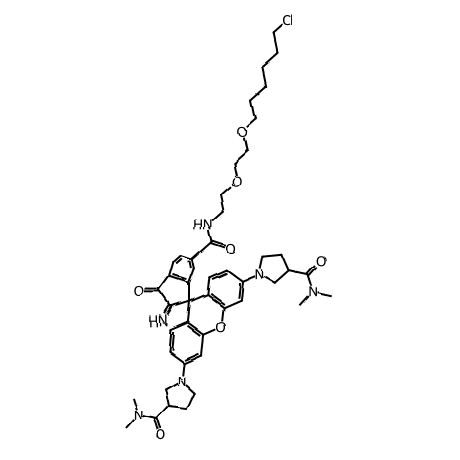 CN(C)C(=O)C1CCN(c2ccc3c(c2)Oc2cc(N4CCC(C(=O)N(C)C)C4)ccc2C32C(=N)C(=O)c3ccc(C(=O)NCCOCCOCCCCCCCl)cc32)C1